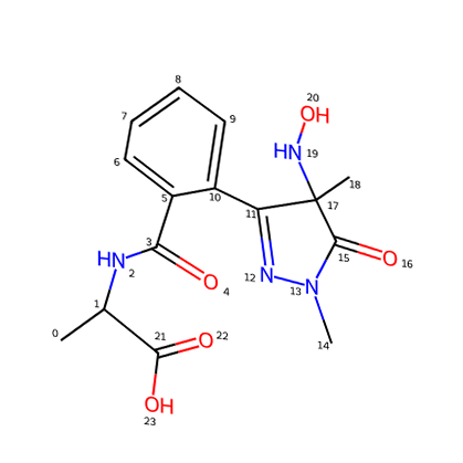 CC(NC(=O)c1ccccc1C1=NN(C)C(=O)C1(C)NO)C(=O)O